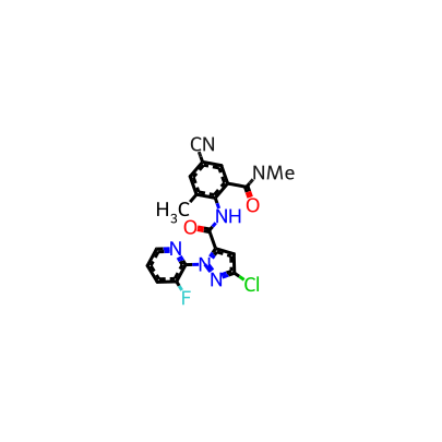 CNC(=O)c1cc(C#N)cc(C)c1NC(=O)c1cc(Cl)nn1-c1ncccc1F